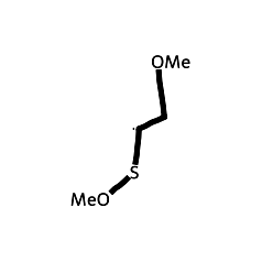 COC[CH]SOC